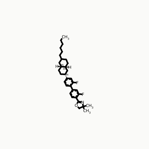 CCCCCCC1CC[C@@H]2C[C@H](c3ccc(-c4ccc(C5=NC(C)(C)CO5)c(F)c4)c(F)c3)CC[C@@H]2C1